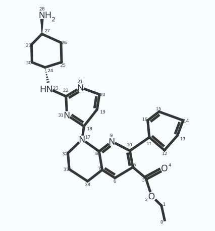 CCOC(=O)c1cc2c(nc1-c1ccccc1)N(c1ccnc(N[C@H]3CC[C@H](N)CC3)n1)CCC2